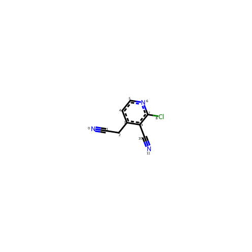 N#CCc1ccnc(Cl)c1C#N